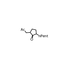 CCCCCC1CCC(CC(C)=O)C1=O